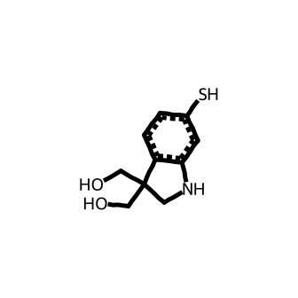 OCC1(CO)CNc2cc(S)ccc21